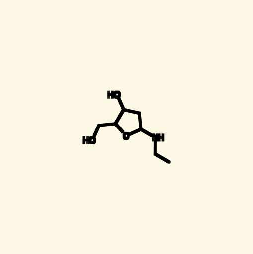 CCNC1CC(O)C(CO)O1